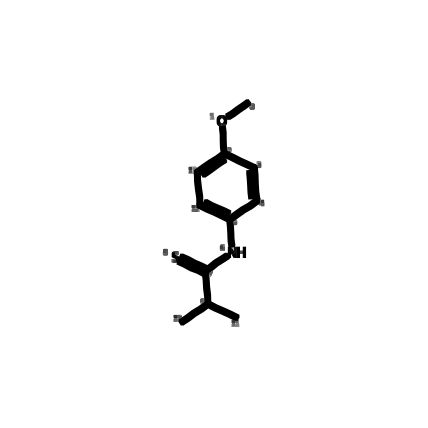 COc1ccc(NC(=S)C(C)C)cc1